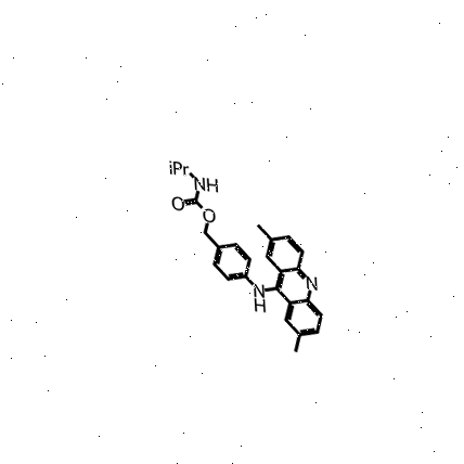 Cc1ccc2nc3ccc(C)cc3c(Nc3ccc(COC(=O)NC(C)C)cc3)c2c1